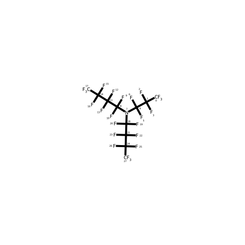 FC(F)(F)C(F)(F)C(F)(F)N(C(F)(F)C(F)(F)C(F)(F)C(F)(F)F)C(F)(F)C(F)(F)C(F)(F)C(F)(F)F